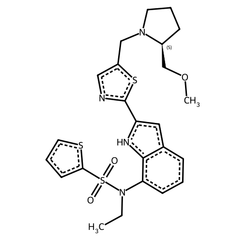 CCN(c1cccc2cc(-c3ncc(CN4CCC[C@H]4COC)s3)[nH]c12)S(=O)(=O)c1cccs1